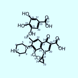 COc1c(N2CCNCC2)c(F)cc2c(=O)c(C(=O)O)cn(C3CC3)c12.O=C(O)c1cc(O)c(O)c(O)c1